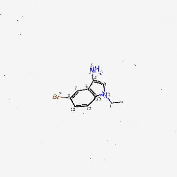 CCn1cc(N)c2cc(Br)ccc21